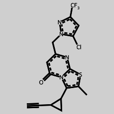 C#CC1CC1c1c(C)sc2nc(Cn3nc(C(F)(F)F)cc3Cl)cc(=O)n12